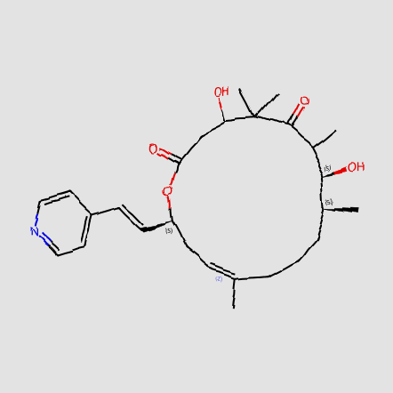 C/C1=C/C[C@@H](C=Cc2ccncc2)OC(=O)CC(O)C(C)(C)C(=O)C(C)[C@@H](O)[C@@H](C)CCC1